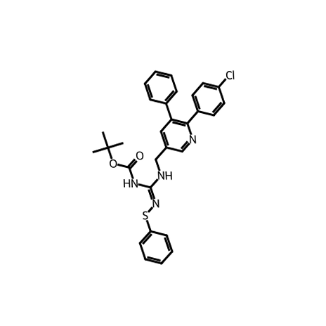 CC(C)(C)OC(=O)N/C(=N\Sc1ccccc1)NCc1cnc(-c2ccc(Cl)cc2)c(-c2ccccc2)c1